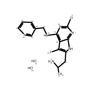 CC(N)Cc1[nH]c2nc(Cl)nc(NCc3cccnc3)c2c1F.Cl.Cl